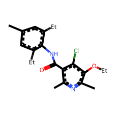 CCOc1c(C)nc(C)c(C(=O)Nc2c(CC)cc(C)cc2CC)c1Cl